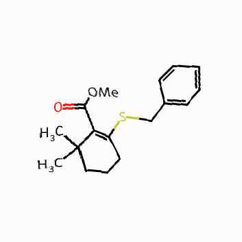 COC(=O)C1=C(SCc2ccccc2)CCCC1(C)C